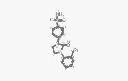 CC(C)c1ccccc1N1CCN(c2ccc(S(N)(=O)=O)cc2)C1=O